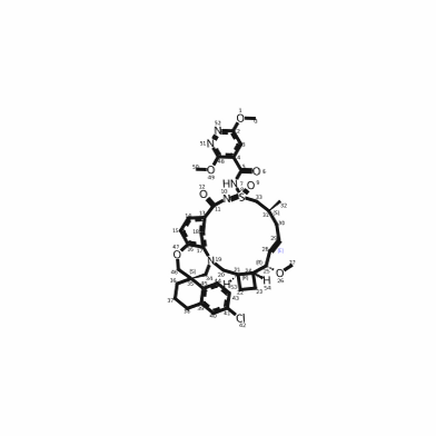 COc1cc(C(=O)NS2(=O)=NC(=O)c3ccc4c(c3)N(C[C@@H]3CC[C@H]3[C@@H](OC)/C=C/C[C@H](C)C2)C[C@@]2(CCCc3cc(Cl)ccc32)CO4)c(OC)nn1